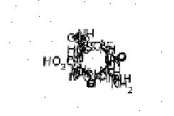 CC(=O)[C@@H]1CSSC[C@H](NC(=O)CN2C(=O)CNC2=O)C(=O)N[C@@H](CCC(=O)O)C(=O)N[C@@H](CC2CN=CN2)C(=O)N[C@H](Cc2ccccc2)C(=O)N[C@@H](CCCNC(=N)N)C(=O)N[C@@H](Cc2c[nH]c3ccccc23)C(=O)N1